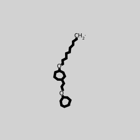 [CH2]CCCCCCCCCOC1CCCC(CCCOC2CC[CH]CCC2)CC1